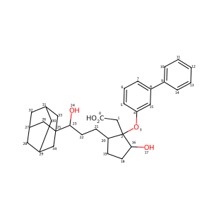 O=C(O)CC1(Oc2cccc(-c3ccccc3)c2)C(O)CCC1CCC(O)C12CC3CC(CC(C3)C1)C2